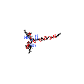 C#CCOCCOCCOCCOCCNC(=O)CN(CC(=O)N[C@@H](CCCC)C(=O)OC)CC(=O)N[C@@H](CCCC)C(=O)OC